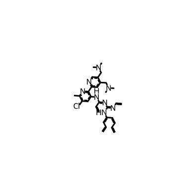 C=C/C=C\C(=C/C=C)NC(=N/C=C)/N=C(\C=C)Nc1cc(Cl)c(C)nc1-c1cc(CN(C)C)c(CN(C)C)cn1